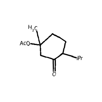 CC(=O)OC1(C)CCC(C(C)C)C(=O)C1